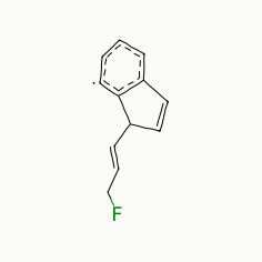 FCC=CC1C=Cc2ccc[c]c21